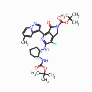 Cc1ccn2ncc(-c3nc(N[C@@H]4CCCC[C@@H]4NC(=O)OC(C)(C)C)c(F)c4c3C(=O)N(C(=O)OC(C)(C)C)C4)c2c1